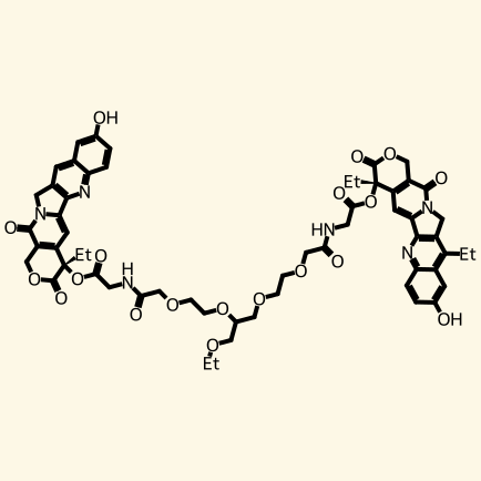 CCOCC(COCCOCC(=O)NCC(=O)O[C@]1(CC)C(=O)OCc2c1cc1n(c2=O)Cc2c-1nc1ccc(O)cc1c2CC)OCCOCC(=O)NCC(=O)O[C@]1(CC)C(=O)OCc2c1cc1n(c2=O)Cc2cc3cc(O)ccc3nc2-1